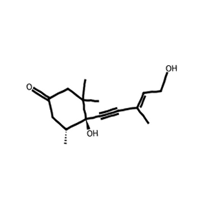 CC(C#C[C@]1(O)[C@H](C)CC(=O)CC1(C)C)=CCO